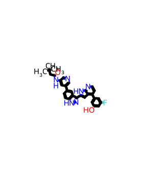 CC(C)(C)CC(=O)Nc1cncc(-c2ccc3[nH]nc(-c4cc5c(-c6cc(O)cc(F)c6)ccnc5[nH]4)c3c2)c1